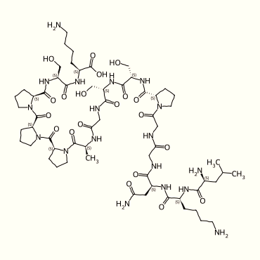 CC(C)C[C@H](N)C(=O)N[C@@H](CCCCN)C(=O)N[C@@H](CC(N)=O)C(=O)NCC(=O)NCC(=O)N1CCC[C@H]1C(=O)N[C@@H](CO)C(=O)N[C@@H](CO)C(=O)NCC(=O)N[C@@H](C)C(=O)N1CCC[C@H]1C(=O)N1CCC[C@H]1C(=O)N1CCC[C@H]1C(=O)N[C@@H](CO)C(=O)N[C@@H](CCCCN)C(=O)O